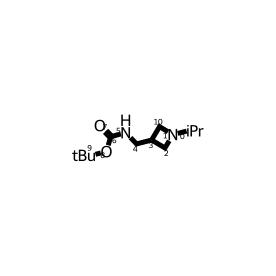 CC(C)N1CC(CNC(=O)OC(C)(C)C)C1